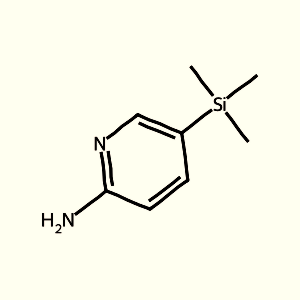 C[Si](C)(C)c1ccc(N)nc1